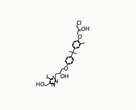 Cc1cc(C(C)(C)c2ccc(OCC(O)Cn3nnc(CO)c3I)cc2)ccc1OC[C@@H](O)CCl